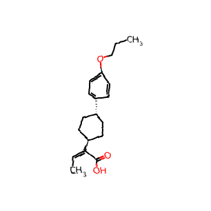 CC=C(C(=O)O)[C@H]1CC[C@H](c2ccc(OCCC)cc2)CC1